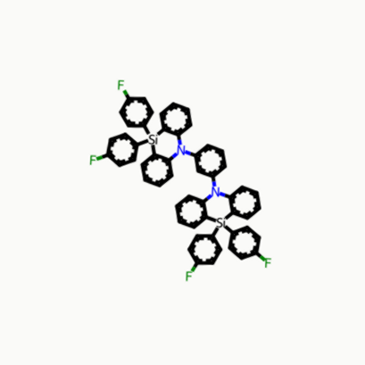 Fc1ccc([Si]2(c3ccc(F)cc3)c3ccccc3N(c3cccc(N4c5ccccc5[Si](c5ccc(F)cc5)(c5ccc(F)cc5)c5ccccc54)c3)c3ccccc32)cc1